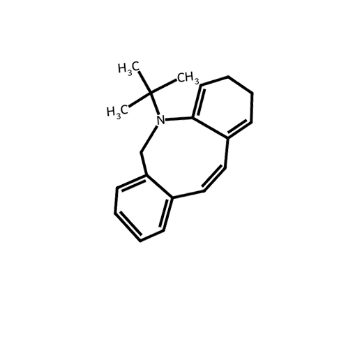 CC(C)(C)N1Cc2ccccc2/C=C\C2=CCCC=C21